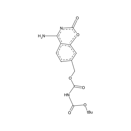 CC(C)(C)OC(=O)NC(=O)OCc1ccc2c(N)nc(=O)oc2c1